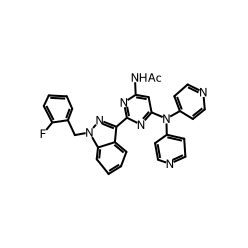 CC(=O)Nc1cc(N(c2ccncc2)c2ccncc2)nc(-c2nn(Cc3ccccc3F)c3ccccc23)n1